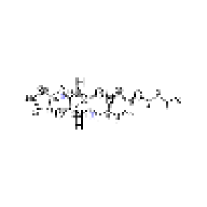 CCCCOc1ccc(/C=c2/[nH]c(=O)/c(=C\C3CC=CS3)[nH]c2=O)nc1